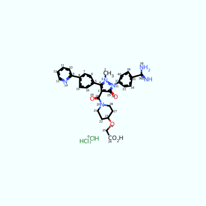 Cl.Cl.Cn1c(-c2ccc(-c3ccccn3)cc2)c(C(=O)N2CCC(OCC(=O)O)CC2)c(=O)n1-c1ccc(C(=N)N)cc1